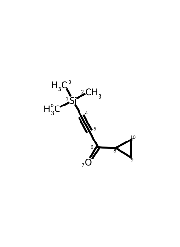 C[Si](C)(C)C#CC(=O)C1CC1